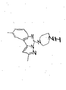 Cc1ccc2nc(N3CCNCC3)n3nc(C)cc3c2c1